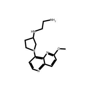 COc1ccc2nccc(N3CCC(NCCN)C3)c2n1